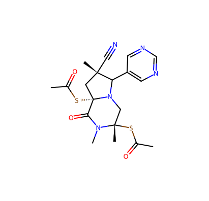 CC(=O)S[C@]12C[C@](C)(C#N)C(c3cncnc3)N1C[C@](C)(SC(C)=O)N(C)C2=O